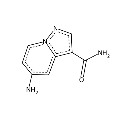 NC(=O)c1cnn2ccc(N)cc12